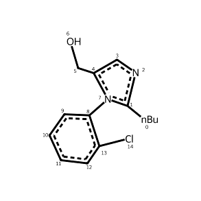 CCCCc1ncc(CO)n1-c1ccccc1Cl